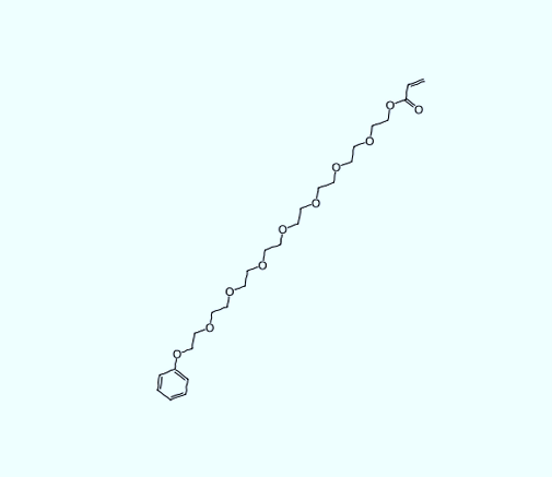 C=CC(=O)OCCOCCOCCOCCOCCOCCOCCOCCOc1ccccc1